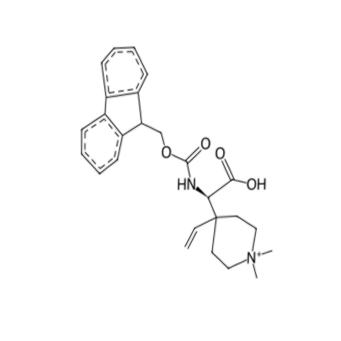 C=CC1([C@@H](NC(=O)OCC2c3ccccc3-c3ccccc32)C(=O)O)CC[N+](C)(C)CC1